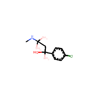 BC(B)(CC(B)(O)c1ccc(Cl)cc1)NC